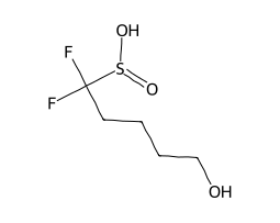 O=S(O)C(F)(F)CCCCO